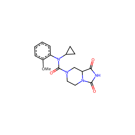 COc1ccccc1N(C(=O)N1CCN2C(=O)NC(=O)C2C1)C1CC1